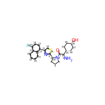 N[C@H](C(=O)N1CCC[C@H]1c1nc(-c2ccc(F)c3ccccc23)cs1)[C@H]1CC[C@@H](O)CC1